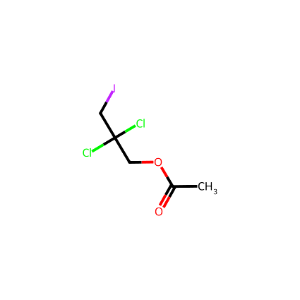 CC(=O)OCC(Cl)(Cl)CI